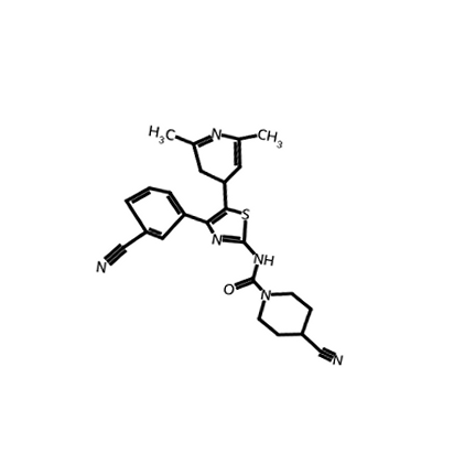 CC1=CC(c2sc(NC(=O)N3CCC(C#N)CC3)nc2-c2cccc(C#N)c2)CC(C)=N1